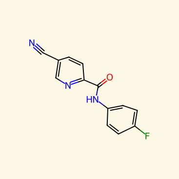 N#Cc1ccc(C(=O)Nc2ccc(F)cc2)nc1